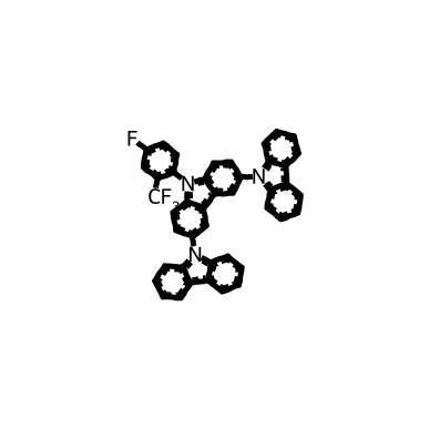 Fc1ccc(-n2c3ccc(-n4c5ccccc5c5ccccc54)cc3c3cc(-n4c5ccccc5c5ccccc54)ccc32)c(C(F)(F)F)c1